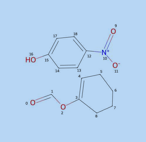 O=COC1=CCCCC1.O=[N+]([O-])c1ccc(O)cc1